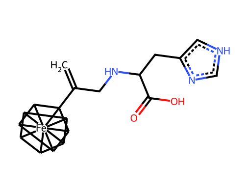 C=C(CNC(Cc1c[nH]cn1)C(=O)O)[C]12[CH]3[CH]4[CH]5[CH]1[Fe]45321678[CH]2[CH]1[CH]6[CH]7[CH]28